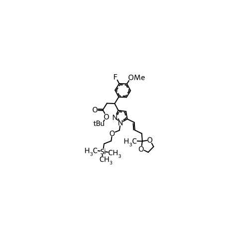 COc1ccc(C(CC(=O)OC(C)(C)C)c2cc(C=CCC3(C)OCCO3)n(COCC[Si](C)(C)C)n2)cc1F